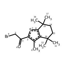 Cc1c(C(=O)CBr)sc2c1C(C)(C)CCC2(C)C